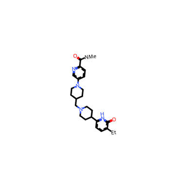 CCc1ccc(C2CCN(CC3CCN(c4ccc(C(=O)NC)nc4)CC3)CC2)[nH]c1=O